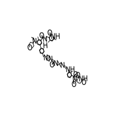 CCN(c1cc(-c2ccc(CN3CCN(CC(=O)N4CC5(CN(CCNc6cccc(C(=O)N(C=O)C7CCC(=O)NC7=O)c6C)C5)C4)CC3)cc2)cc(C(=O)NCc2c(C)cc(C)[nH]c2=O)c1C)C1CCOCC1